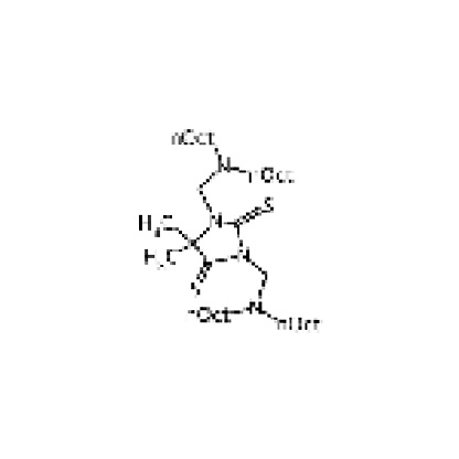 CCCCCCCCN(CCCCCCCC)CN1C(=S)N(CN(CCCCCCCC)CCCCCCCC)C(C)(C)C1=S